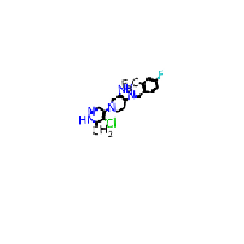 C=C1NN=CC(N2CCc3c(nnn3Cc3ccc(F)cc3C(F)(F)F)C2)=C1Cl